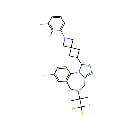 Cc1cccc(N2CC3(CC(c4nnc5n4-c4ccc(Cl)cc4CN(C(C)(C)C(F)(F)F)C5)C3)C2)c1F